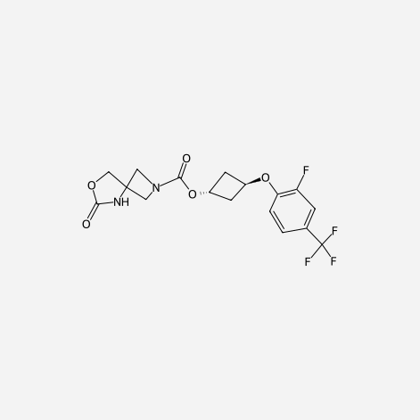 O=C1NC2(CO1)CN(C(=O)O[C@H]1C[C@H](Oc3ccc(C(F)(F)F)cc3F)C1)C2